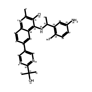 Cc1nc2ccc(-c3cnc(C(C)(C)O)nc3)cc2c(NC(C)c2cc(N)ccc2F)c1Cl